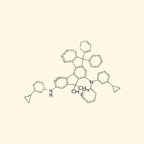 CC1(C)c2cc(Nc3cccc(C4CC4)c3)c#cc2-c2c3c(cc(N(c4ccccc4)c4cccc(C5CC5)c4)c21)C(C1=CC=CCC1)(c1ccccc1)c1ccccc1-3